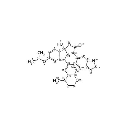 CC(C)Oc1ccc(C2(O)OC(=O)C(c3ccc4nsnc4c3)=C2Cc2ccc3c(c2)N(C)CCO3)cc1